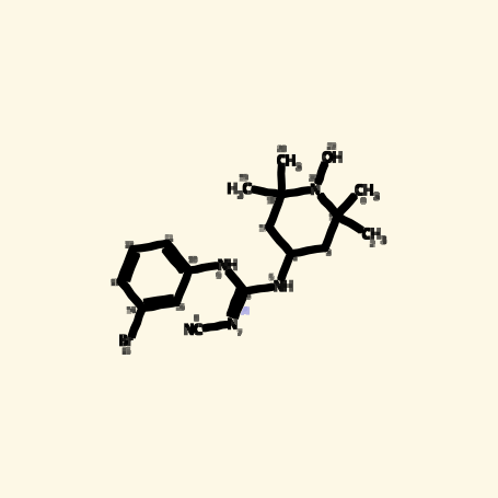 CC1(C)CC(N/C(=N/C#N)Nc2cccc(Br)c2)CC(C)(C)N1O